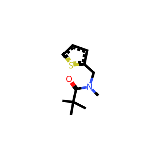 CN(Cc1cccs1)C(=O)C(C)(C)C